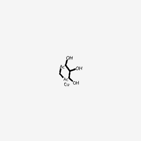 CC(=O)CC(C)=O.OCC(O)CO.[Cu]